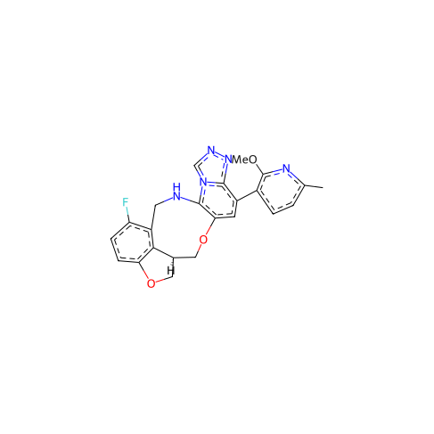 COc1nc(C)ccc1-c1cc2c(n3cnnc13)NCc1c(F)ccc3c1[C@H](CO3)CO2